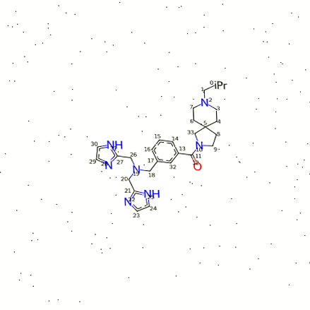 CC(C)CN1CCC2(CC1)CCN(C(=O)c1cccc(CN(Cc3ncc[nH]3)Cc3ncc[nH]3)c1)C2